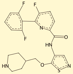 O=C(Nc1cnsc1OCC1CCNCC1)c1ccc(F)c(-c2c(F)cccc2F)n1